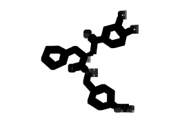 COc1ccc(CNC(=O)[C@@H](CC(=O)c2ccc(Cl)c(Cl)c2)Cc2ccccc2)cc1